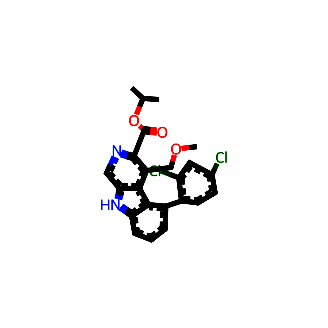 COCc1c(C(=O)OC(C)C)ncc2[nH]c3cccc(-c4ccc(Cl)cc4Cl)c3c12